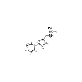 C[SH](S)NCc1cn(-c2cncnc2)nn1